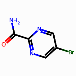 NC(=O)c1ncc(Br)cn1